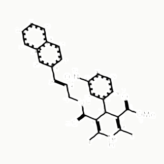 COC(=O)C1=C(C)NC(C)=C(C(=O)OC/C=C/c2ccc3ccccc3c2)C1c1cccc([N+](=O)[O-])c1